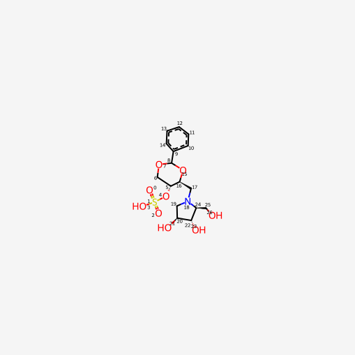 O=S(=O)(O)O[C@@H]1COC(c2ccccc2)O[C@H]1CN1C[C@H](O)[C@@H](O)[C@@H]1CO